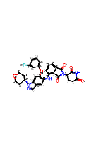 O=C1CCC(N2C(=O)c3cccc(Nc4cc5cnn(C6CCOCC6)c5cc4Oc4cccc(F)c4)c3C2=O)C(=O)N1